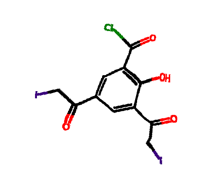 O=C(CI)c1cc(C(=O)Cl)c(O)c(C(=O)CI)c1